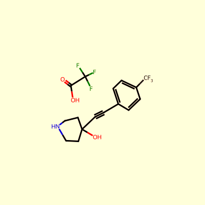 O=C(O)C(F)(F)F.OC1(C#Cc2ccc(C(F)(F)F)cc2)CCNCC1